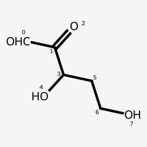 O=CC(=O)C(O)CCO